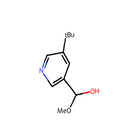 COC(O)c1cncc(C(C)(C)C)c1